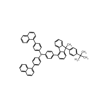 CC(C)(C)c1ccc(C2(C)c3ccccc3-c3c(-c4ccc(N(c5ccc(-c6cccc7ccccc67)cc5)c5ccc(-c6cccc7ccccc67)cc5)cc4)cccc32)cc1